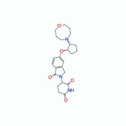 O=C1CCC(N2Cc3cc(O[C@@H]4CCC[C@@H]4N4CCCOCCC4)ccc3C2=O)C(=O)N1